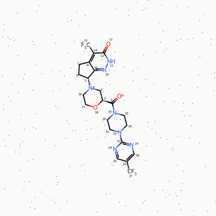 O=C([C@@H]1CN([C@H]2CCc3c2n[nH]c(=O)c3C(F)(F)F)CCO1)N1CCN(c2ncc(C(F)(F)F)cn2)CC1